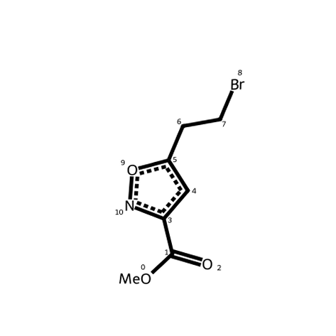 COC(=O)c1cc(CCBr)on1